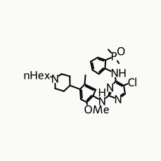 CCCCCCN1CCC(c2cc(OC)c(Nc3ncc(Cl)c(Nc4ccccc4P(C)(C)=O)n3)cc2C)CC1